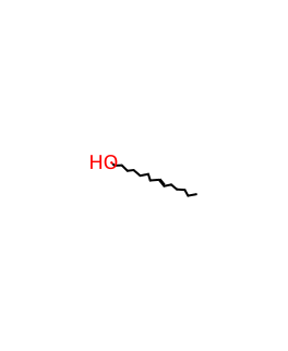 CCCCCC=CCCCCCCCO